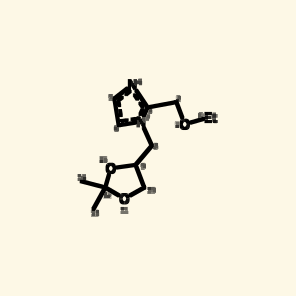 CCOCc1nccn1CC1COC(C)(C)O1